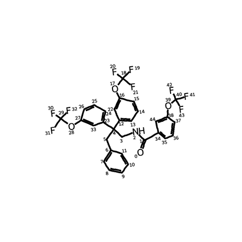 O=C(NCC(Cc1ccccc1)(c1cccc(OC(F)(F)F)c1)c1cccc(OC(F)(F)F)c1)c1cccc(OC(F)(F)F)c1